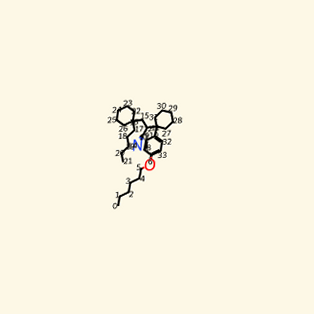 CCCCCCOc1ccc(C2(C(C#N)CC3(CCCCC)CCCCC3)CCCCC2)cc1